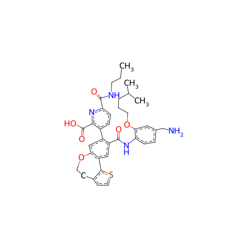 CCCNC(=O)c1ccc(-c2cc3c(cc2C(=O)Nc2ccc(CN)cc2OCCCC(C)C)-c2sccc2CCO3)c(C(=O)O)n1